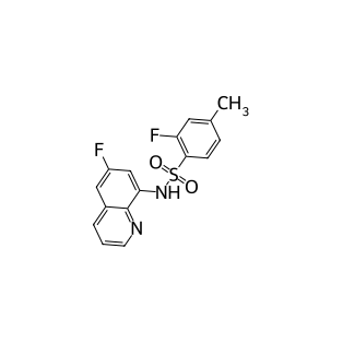 Cc1ccc(S(=O)(=O)Nc2cc(F)cc3cccnc23)c(F)c1